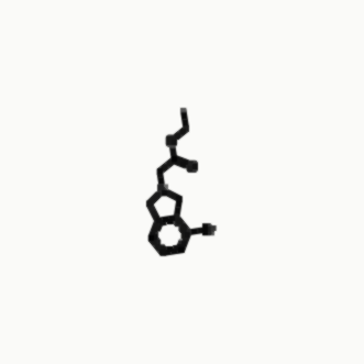 CCOC(=O)CN1Cc2cccc(Br)c2C1